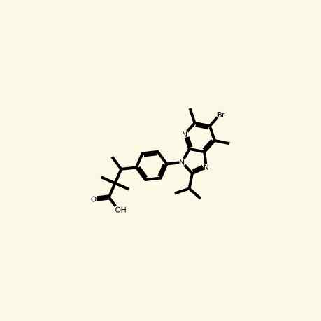 Cc1nc2c(nc(C(C)C)n2-c2ccc(C(C)C(C)(C)C(=O)O)cc2)c(C)c1Br